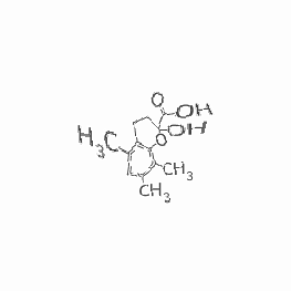 Cc1cc(C)c2c(c1C)OC(O)(C(=O)O)CC2